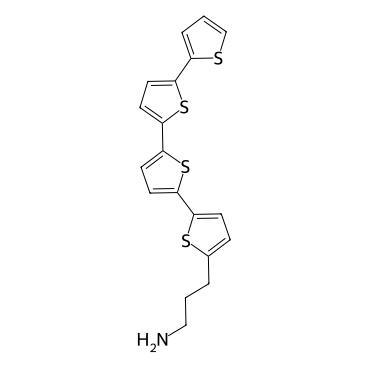 NCCCc1ccc(-c2ccc(-c3ccc(-c4cccs4)s3)s2)s1